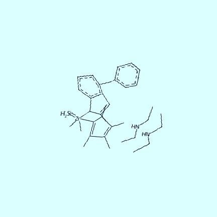 CC1=Cc2c(-c3ccccc3)cccc2[CH]1[Zr]([CH3])([CH3])(=[SiH2])[C]1=C(C)C(C)=C(C)C1C.CCNCC.CCNCC